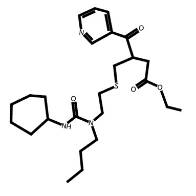 CCCCN(CCSCC(CC(=O)OCC)C(=O)c1cccnc1)C(=O)NC1CCCCC1